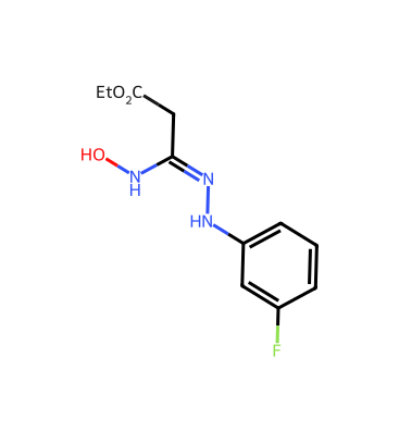 CCOC(=O)CC(=NNc1cccc(F)c1)NO